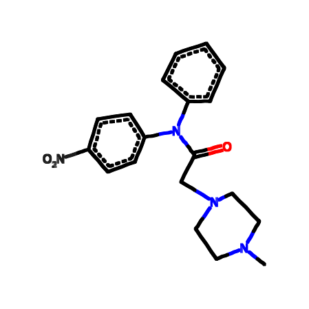 CN1CCN(CC(=O)N(c2ccccc2)c2ccc([N+](=O)[O-])cc2)CC1